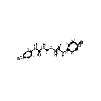 O=C(NCCNC(=O)Nc1ccc(Br)cc1)Nc1ccc(Br)cc1